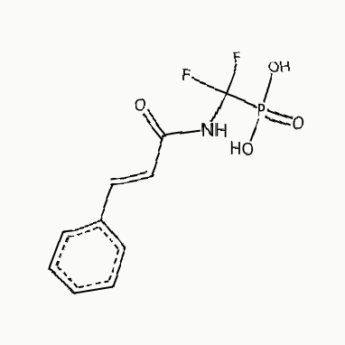 O=C(C=Cc1ccccc1)NC(F)(F)P(=O)(O)O